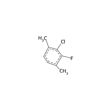 Cc1ccc(C)c(Cl)c1F